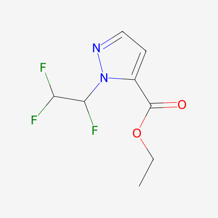 CCOC(=O)c1ccnn1C(F)C(F)F